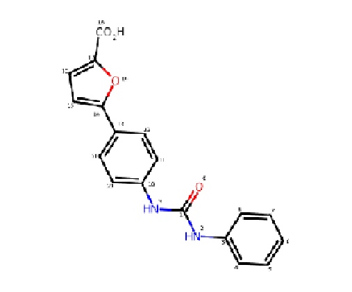 O=C(Nc1ccccc1)Nc1ccc(-c2ccc(C(=O)O)o2)cc1